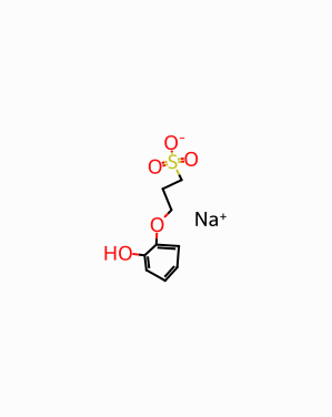 O=S(=O)([O-])CCCOc1ccccc1O.[Na+]